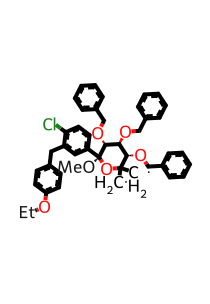 [CH2]C1([CH2])O[C@@](OC)(c2ccc(Cl)c(Cc3ccc(OCC)cc3)c2)[C@H](OCc2ccccc2)[C@@H](OCc2ccccc2)[C@@H]1OCc1ccccc1